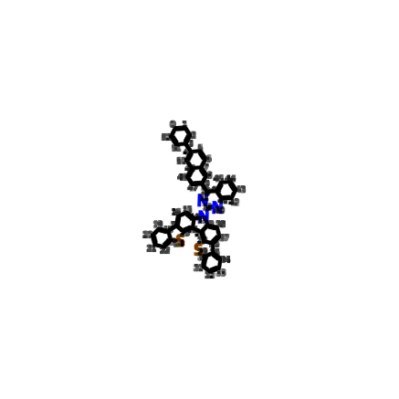 c1ccc(-c2ccc3cc(-c4nc(-n5c6ccc7c8ccccc8sc7c6c6c7sc8ccccc8c7ccc65)nc5ccccc45)ccc3c2)cc1